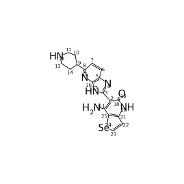 Nc1c(-c2nc3ccc(C4CCNCC4)nc3[nH]2)c(=O)[nH]c2cc[se]c12